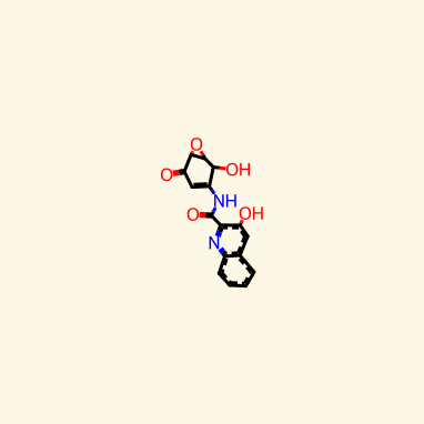 O=C(NC1=CC(=O)C2OC2C1O)c1nc2ccccc2cc1O